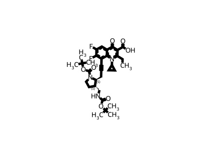 CCc1c(C(=O)O)c(=O)c2cc(F)c(F)c(C#CC[C@H]3[C@H](CNC(=O)OC(C)(C)C)CCN3C(=O)OC(C)(C)C)c2n1C1CC1